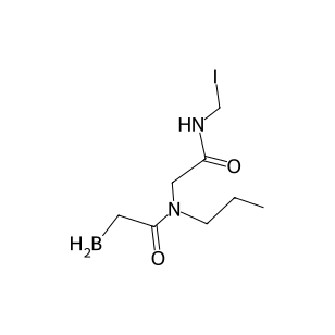 BCC(=O)N(CCC)CC(=O)NCI